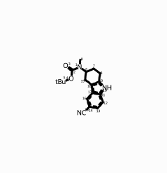 CN(C(=O)OC(C)(C)C)C1CCc2[nH]c3ccc(C#N)cc3c2C1